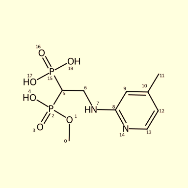 COP(=O)(O)C(CNc1cc(C)ccn1)P(=O)(O)O